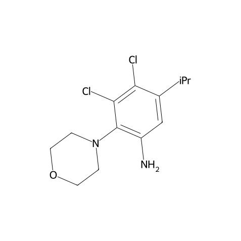 CC(C)c1cc(N)c(N2CCOCC2)c(Cl)c1Cl